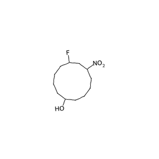 O=[N+]([O-])C1CCCCC(O)CCCCC(F)C1